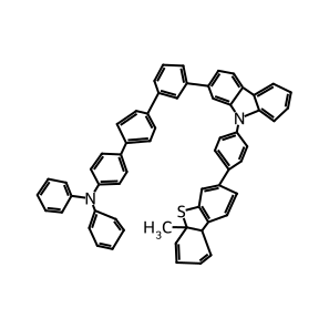 CC12C=CC=CC1c1ccc(-c3ccc(-n4c5ccccc5c5ccc(-c6cccc(-c7ccc(-c8ccc(N(c9ccccc9)c9ccccc9)cc8)cc7)c6)cc54)cc3)cc1S2